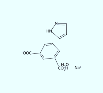 O.O=C([O-])c1cccc(C(=O)O)c1.[Na+].c1cn[nH]c1